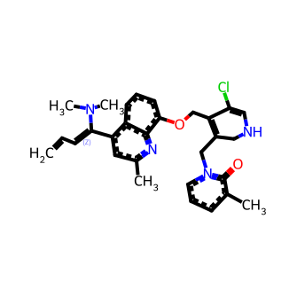 C=C/C=C(/c1cc(C)nc2c(OCC3=C(Cn4cccc(C)c4=O)CNC=C3Cl)cccc12)N(C)C